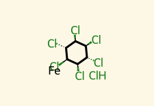 Cl.Cl[C@H]1[C@H](Cl)[C@@H](Cl)[C@@H](Cl)[C@H](Cl)[C@H]1Cl.[Fe]